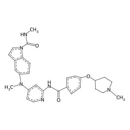 CNC(=O)n1ccc2cc(N(C)c3ccnc(NC(=O)c4ccc(OC5CCN(C)CC5)cc4)c3)ccc21